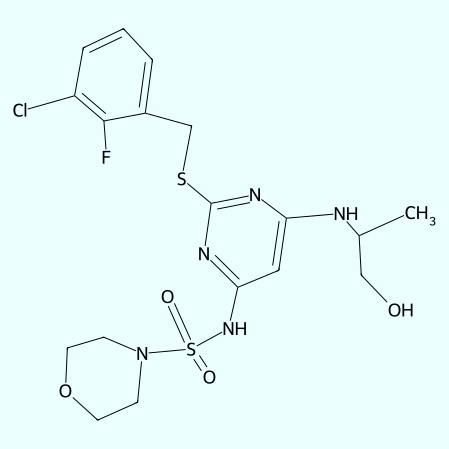 CC(CO)Nc1cc(NS(=O)(=O)N2CCOCC2)nc(SCc2cccc(Cl)c2F)n1